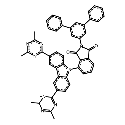 CC1=NC(C)NC(c2ccc3c(c2)c2cc(-c4nc(C)nc(C)n4)ccc2n3-c2cccc3c2C(=O)N(c2cc(-c4ccccc4)cc(-c4ccccc4)c2)C3=O)=N1